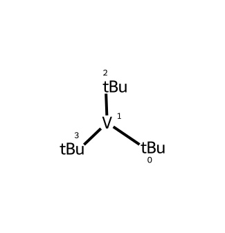 C[C](C)(C)[V]([C](C)(C)C)[C](C)(C)C